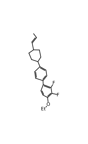 CC=CC1CCC(c2ccc(-c3ccc(OCC)c(F)c3F)cc2)CC1